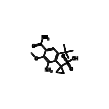 COc1c(C(N)=O)cc(C(C)(C)C)c(C2(S(=O)(=O)O)CC2)c1N